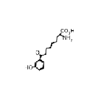 NC(CCCCCCC(=O)c1cccc(O)c1)C(=O)O